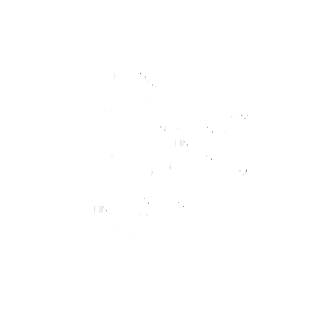 COc1cc(OC)nc(NC(=O)NS(=O)(=O)c2c(C(=O)O)c(Cl)nn2C)n1.Nc1c([N+](=O)[O-])cnn1-c1c(Cl)cc(C(F)(F)F)cc1Cl.O=C(O)CNCP(=O)(O)O